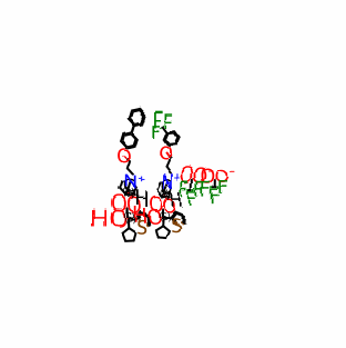 O=C(O[C@H]1C[N+]2(CCCOc3ccc(-c4ccccc4)cc3)CCC1CC2)[C@](O)(c1cccs1)C1CCCC1.O=C(O[C@H]1C[N+]2(CCCOc3cccc(C(F)(F)F)c3)CCC1CC2)[C@](O)(c1cccs1)C1CCCC1.O=C([O-])C(F)(F)F.O=C([O-])C(F)(F)F